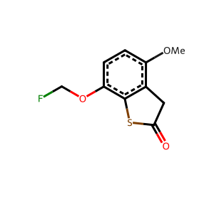 COc1ccc(OCF)c2c1CC(=O)S2